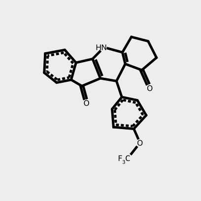 O=C1CCCC2=C1C(c1ccc(OC(F)(F)F)cc1)C1=C(N2)c2ccccc2C1=O